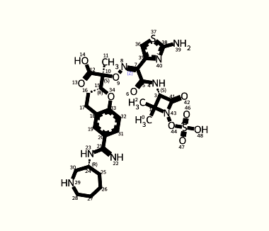 CC1(C)[C@H](NC(=O)/C(=N\O[C@](C)(C(=O)O)[C@H]2CCc3cc(C(=N)N[C@@H]4CCCCNC4)ccc3O2)c2csc(N)n2)C(=O)N1OS(=O)(=O)O